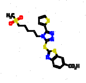 CS(=O)(=O)CCCCCn1c(Sc2nc3ccc(C(=O)O)cc3s2)nnc1-c1cccs1